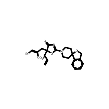 C=CCC1(CC(=CCC)C(=O)O)OC(N2CCC3(CC2)OCc2ccccc23)=NC1=O